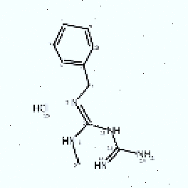 CNC(=NCc1ccccc1)NC(=N)N.Cl